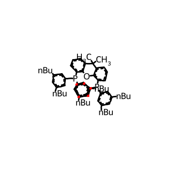 CCCCc1cc(CCCC)cc(P(c2ccccc2)c2cccc3c2Oc2c(P(c4cc(CCCC)cc(CCCC)c4)c4cc(CCCC)cc(CCCC)c4)cccc2C3(C)C)c1